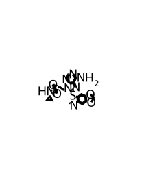 CN(C)c1cc2c(cc1Sc1nc3c(N)ncnc3n1CCS(=O)(=O)NC1CC1)OCO2